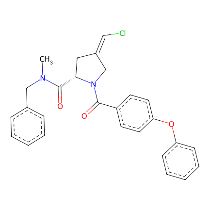 CN(Cc1ccccc1)C(=O)[C@@H]1CC(=CCl)CN1C(=O)c1ccc(Oc2ccccc2)cc1